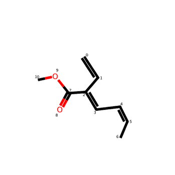 C=C/C(=C\C=C/C)C(=O)OC